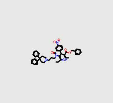 CCC1=C(N(C=O)CCCN2CCC(c3ccccc3)(c3ccccc3)CC2)C(c2ccc([N+](=O)[O-])cc2)C(C(=O)OCc2ccccc2)=C(C)N1